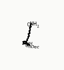 CCCCCCCCCCCC(=O)Nc1cc(C)ccc1CCCCCCCCCCCC(N)=O